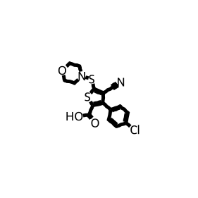 N#Cc1c(SN2CCOCC2)sc(C(=O)O)c1-c1ccc(Cl)cc1